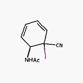 CC(=O)NC1C=CC=CC1(I)C#N